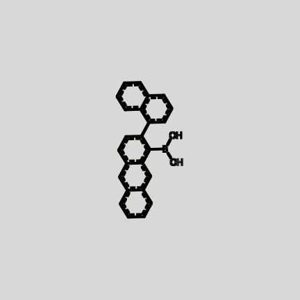 OB(O)c1c(-c2cccc3ccccc23)ccc2cc3ccccc3cc12